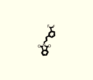 O=C1c2ccccc2C(=O)N1CC=Cc1cccc(C(F)F)c1